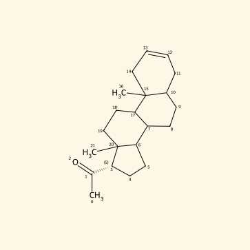 CC(=O)[C@H]1CCC2C3CCC4CC=CCC4(C)C3CCC21C